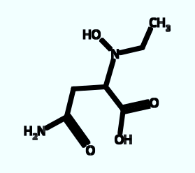 CCN(O)C(CC(N)=O)C(=O)O